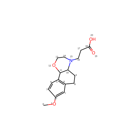 COc1ccc2c(c1)CCC1C2OCCN1CCC(=O)O